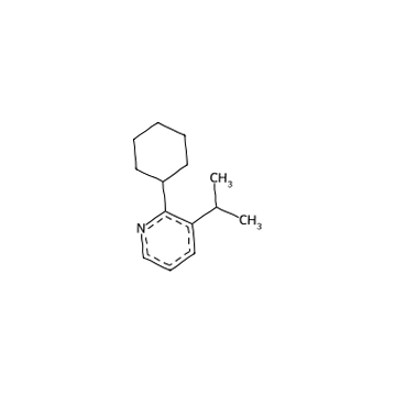 CC(C)c1cccnc1C1CCCCC1